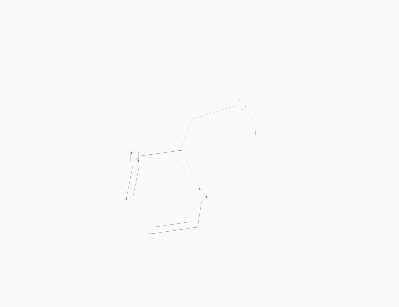 C[S+]([O-])Cc1ncccn1